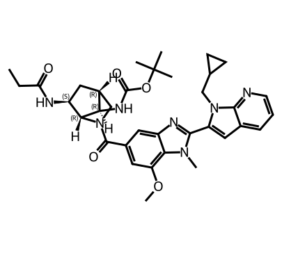 CCC(=O)N[C@H]1C[C@@H]2CN(C(=O)c3cc(OC)c4c(c3)nc(-c3cc5cccnc5n3CC3CC3)n4C)[C@H]1[C@@H]2NC(=O)OC(C)(C)C